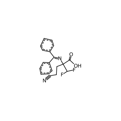 N#CCCC(N=C(c1ccccc1)c1ccccc1)(C(=O)O)C(F)F